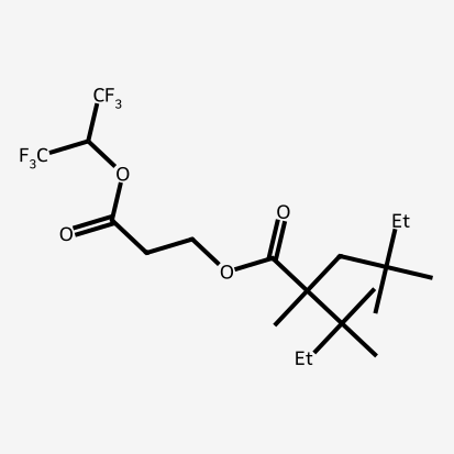 CCC(C)(C)CC(C)(C(=O)OCCC(=O)OC(C(F)(F)F)C(F)(F)F)C(C)(C)CC